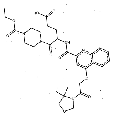 CCOC(=O)N1CCN(C(=O)C(CCC(=O)O)NC(=O)c2cc(OCC(=O)N3COCC3(C)C)c3ccccc3n2)CC1